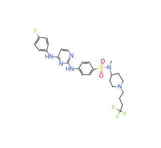 CN(C1CCN(CCCC(F)(F)F)CC1)S(=O)(=O)c1ccc(Nc2nccc(Nc3ccc(F)cc3)n2)cc1